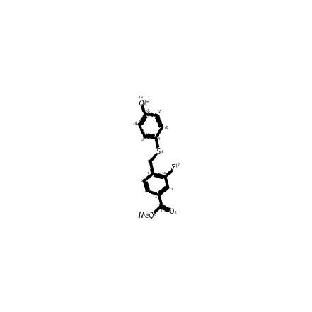 COC(=O)c1ccc(CSc2ccc(O)cc2)c(F)c1